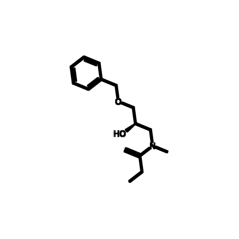 C=C(CC)N(C)C[C@@H](O)COCc1ccccc1